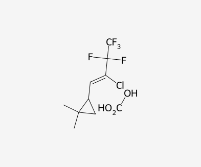 CC1(C)CC1C=C(Cl)C(F)(F)C(F)(F)F.O=C(O)O